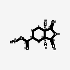 CCCOC(=O)[C@H]1CC[C@H]2C(=O)OC(=O)[C@H]2C1